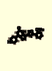 COc1ccccc1-c1nc(-c2cnn3c(C4CCNCC4)cc(=O)[nH]c23)no1